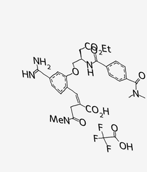 CCOC(=O)C[C@H](COc1cc(C(=N)N)ccc1C=C(CC(=O)NC)C(=O)O)NC(=O)c1ccc(C(=O)N(C)C)cc1.O=C(O)C(F)(F)F